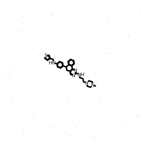 CN1CCN(CCCNc2ncc3c(n2)-c2ccccc2C(c2ccc(NCc4ccsc4)cc2)C3)CC1